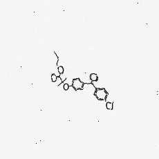 CCCOC(=O)C(C)(C)Oc1ccc(C(=O)c2ccc(Cl)cc2)cc1